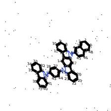 c1ccc2cc(-n3c4ccccc4c4cc5c(cc43)c3ccccc3n5-c3ccc(-n4c5ccccc5c5ccccc54)cc3)ccc2c1